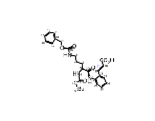 CC(C)(C)OC(=O)N[C@@H](CCCNC(=O)OCc1ccccc1)C(=O)Nc1ccccc1/C=C/C(=O)O